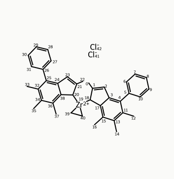 CC1=Cc2c(-c3ccccc3)c(C)c(C)c(C)c2[CH]1[Zr+2]1([CH]2C(C)=Cc3c(-c4ccccc4)c(C)c(C)c(C)c32)[CH2][CH2]1.[Cl-].[Cl-]